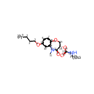 CC(C)CCCOc1ccc2c(c1)N(C)C(=O)[C@@H](OC(=O)NC(C)(C)C)CO2